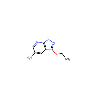 CCOc1n[nH]c2ncc(N)cc12